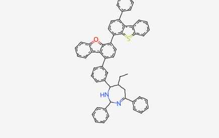 CCC1CC(c2ccccc2)=NC(c2ccccc2)NC1c1cccc(-c2ccc(-c3ccc(-c4ccccc4)c4c3sc3ccccc34)c3oc4ccccc4c23)c1